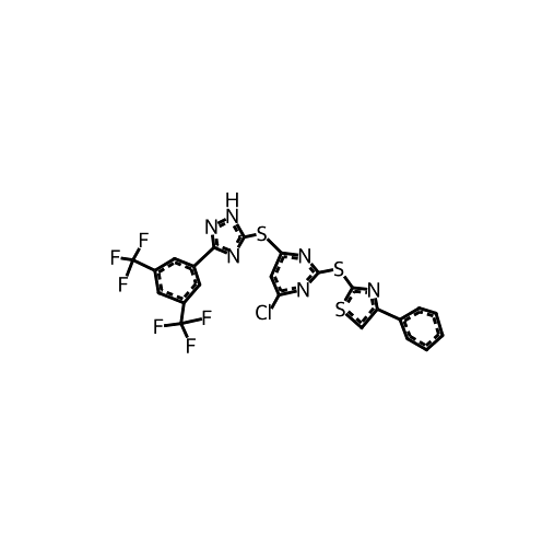 FC(F)(F)c1cc(-c2n[nH]c(Sc3cc(Cl)nc(Sc4nc(-c5ccccc5)cs4)n3)n2)cc(C(F)(F)F)c1